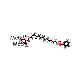 COC(=O)C(=O)[C@@H](CCC/C=C\CCCCCCCCCCCOCc1ccccc1)C(=O)OC